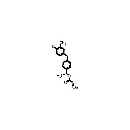 Cc1cc(Cc2ccc([C@H](C)OC(=O)NC(C)(C)C)cc2)ccc1F